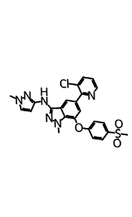 Cn1ccc(Nc2nn(C)c3c(Oc4ccc(S(C)(=O)=O)cc4)cc(-c4ncccc4Cl)cc23)n1